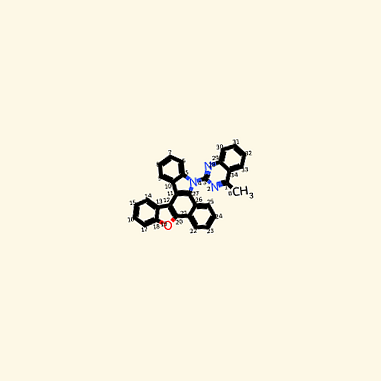 Cc1nc(-n2c3ccccc3c3c4c5ccccc5oc4c4ccccc4c32)nc2ccccc12